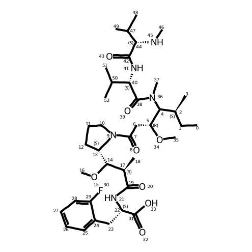 CC[C@H](C)C([C@@H](CC(=O)N1CCC[C@H]1C(OC)[C@@H](C)C(=O)N[C@@H](Cc1ccccc1F)C(=O)O)OC)N(C)C(=O)[C@@H](NC(=O)[C@@H](NC)C(C)C)C(C)C